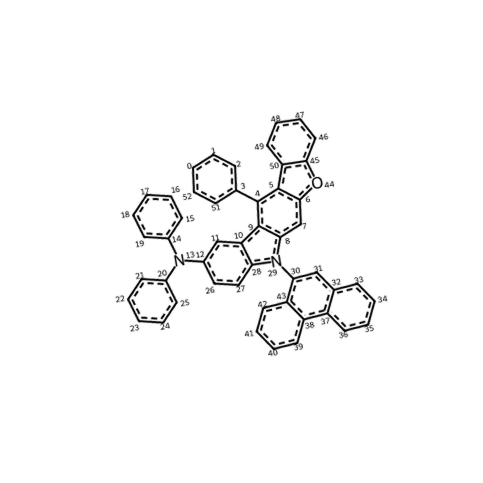 c1ccc(-c2c3c(cc4c2c2cc(N(c5ccccc5)c5ccccc5)ccc2n4-c2cc4ccccc4c4ccccc24)oc2ccccc23)cc1